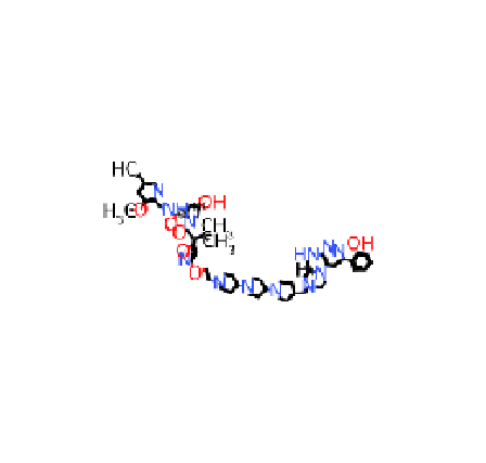 C#Cc1cnc(CNC(=O)[C@@H]2C[C@@H](O)CN2C(=O)C(c2cc(OCCN3CCC(N4CCC(N5CCC(CN6CCN7c8cc(-c9ccccc9O)nnc8NC[C@H]7C6)CC5)CC4)CC3)no2)C(C)C)c(OC)c1